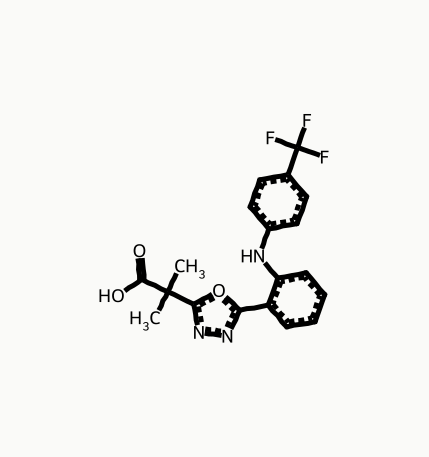 CC(C)(C(=O)O)c1nnc(-c2ccccc2Nc2ccc(C(F)(F)F)cc2)o1